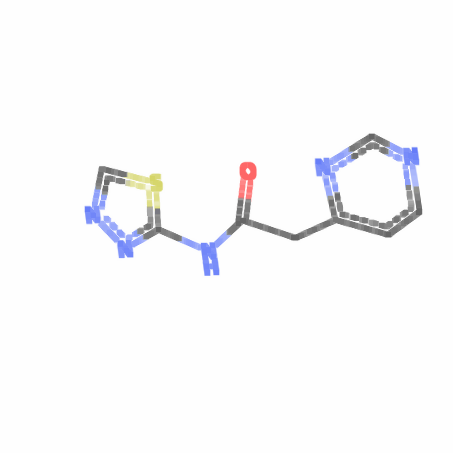 O=C(Cc1ccncn1)Nc1nncs1